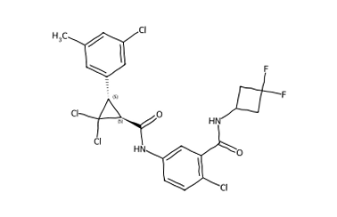 Cc1cc(Cl)cc([C@@H]2[C@@H](C(=O)Nc3ccc(Cl)c(C(=O)NC4CC(F)(F)C4)c3)C2(Cl)Cl)c1